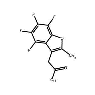 Cc1oc2c(F)c(F)c(F)c(F)c2c1CC(=O)O